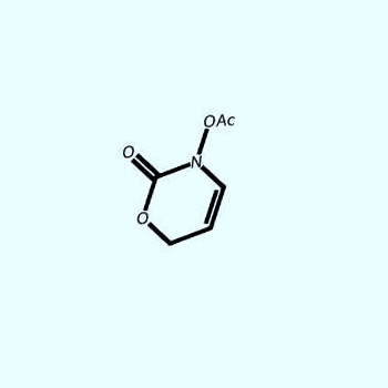 CC(=O)ON1C=CCOC1=O